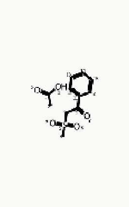 CC(=O)O.CS(=O)(=O)CC(=O)c1ccccc1